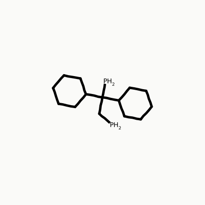 PCC(P)(C1CCCCC1)C1CCCCC1